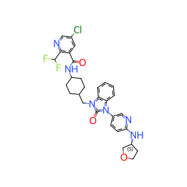 O=C(NC1CCC(Cn2c(=O)n(-c3ccc(N[C@H]4CCOC4)nc3)c3ccccc32)CC1)c1cc(Cl)cnc1C(F)F